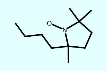 CCCCC1(C)CCC(C)(C)N1[O]